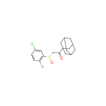 O=C(C[S+]([O-])c1cc(Cl)ccc1Cl)C12CC3CC(CC(C3)C1)C2